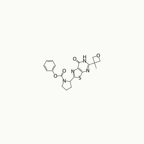 CC1(c2nc3sc(C4CCCN4C(=O)Oc4ccccc4)nc3c(=O)[nH]2)COC1